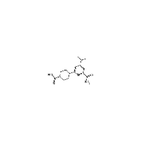 CN(C)c1cc(C(N)=O)nc(C2CCN(C(=O)O)CC2)c1